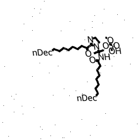 CCCCCCCCCCCCCCCCCC(=O)NC(C)(C)N1CCN=C1C(=O)CCCCCCCCCCCCCCCCC.COS(=O)(=O)O